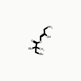 CC(C)(C)CC(C)(C(=O)O/C=C(\O)CN)C(C)(C)C